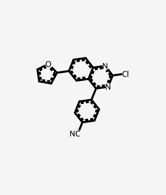 N#Cc1ccc(-c2nc(Cl)nc3ccc(-c4ccco4)cc23)cc1